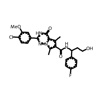 COc1cc(-c2nn3c(C)c(C(=O)NC(CCO)c4ccc(F)cc4)c(C)c3c(=O)[nH]2)ccc1Cl